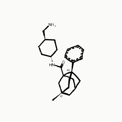 C[C@@]12CC3CC(C(=O)N[C@H]4CC[C@H](CN)CC4)(C1)[C@](c1ccccc1)(C3)C2